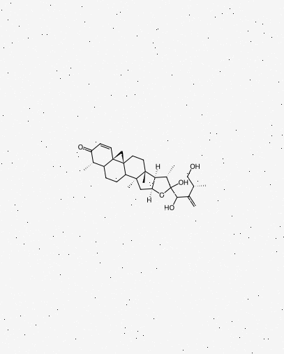 C=C(C(O)C1(O)O[C@H]2C[C@@]3(C)C4CCC5[C@H](C)C(=O)C=C[C@@]56C[C@@]46CC[C@]3(C)[C@H]2[C@@H]1C)[C@@H](C)CO